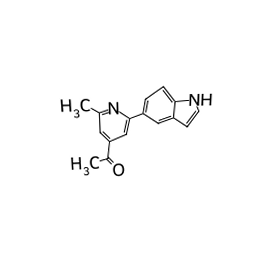 CC(=O)c1cc(C)nc(-c2ccc3[nH]ccc3c2)c1